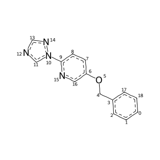 c1ccc(COc2ccc(-n3cncn3)nc2)cc1